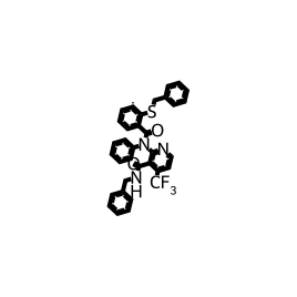 O=C(NCc1ccccc1)c1c(C(F)(F)F)ccnc1N(C(=O)c1ccc[c]c1SCc1ccccc1)c1ccccc1